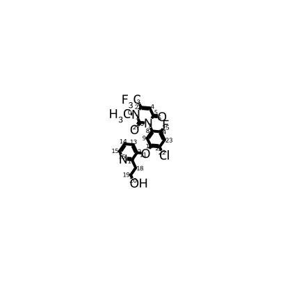 Cn1c(C(F)(F)F)cc(=O)n(-c2cc(Oc3cccnc3CCO)c(Cl)cc2F)c1=O